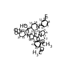 COC[C@@H]1C[C@@H](c2ccc(F)cc2N2CCC(C(=O)O)CC2)CN1C(=O)[C@]1(F)CN([C@H]2CC[C@H](OC)CC2)C[C@H]1c1ccc(OC)cc1